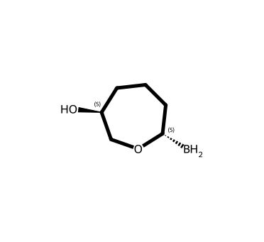 B[C@H]1CCC[C@H](O)CO1